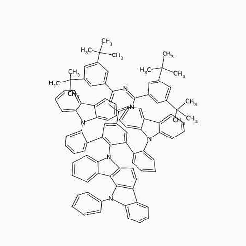 CC(C)(C)c1cc(-c2cc(-c3cc(-c4ccccc4-n4c5ccccc5c5ccccc54)c(-n4c5ccccc5c5c4ccc4c6ccccc6n(-c6ccccc6)c45)c(-c4ccccc4-n4c5ccccc5c5ccccc54)c3)nc(-c3cc(C(C)(C)C)cc(C(C)(C)C)c3)n2)cc(C(C)(C)C)c1